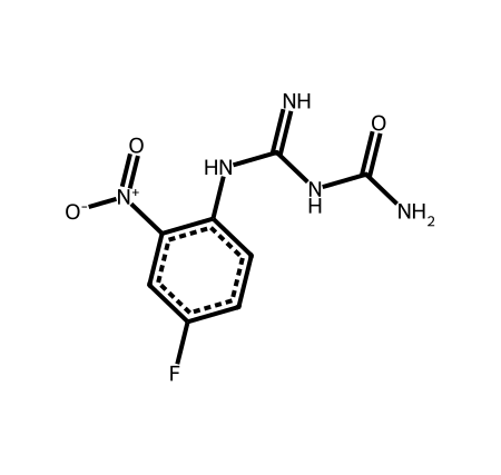 N=C(NC(N)=O)Nc1ccc(F)cc1[N+](=O)[O-]